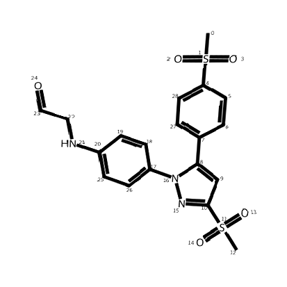 CS(=O)(=O)c1ccc(-c2cc(S(C)(=O)=O)nn2-c2ccc(NCC=O)cc2)cc1